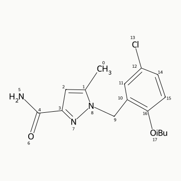 Cc1cc(C(N)=O)nn1Cc1cc(Cl)ccc1OCC(C)C